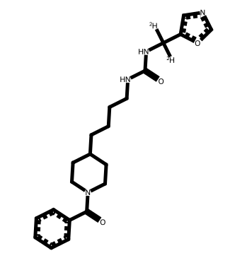 [2H]C([2H])(NC(=O)NCCCCC1CCN(C(=O)c2ccccc2)CC1)c1cnco1